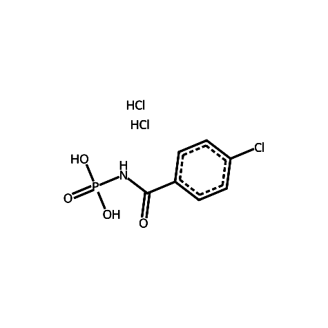 Cl.Cl.O=C(NP(=O)(O)O)c1ccc(Cl)cc1